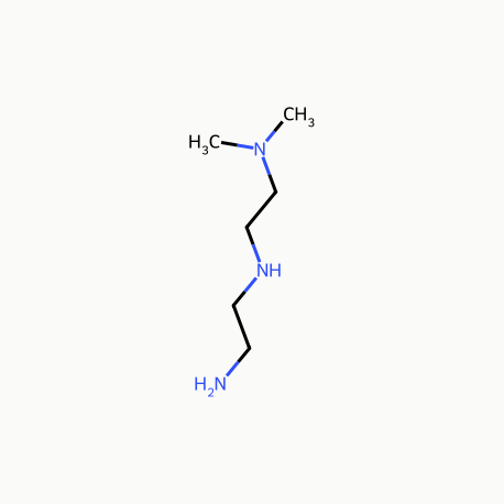 CN(C)CCNCCN